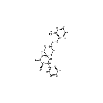 CC1OC2(CCN(CCc3ccncc3Cl)CC2)CN(c2ccccc2)C1=O